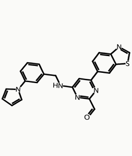 O=Cc1nc(NCc2cccc(-n3cccc3)c2)cc(-c2ccc3ncsc3c2)n1